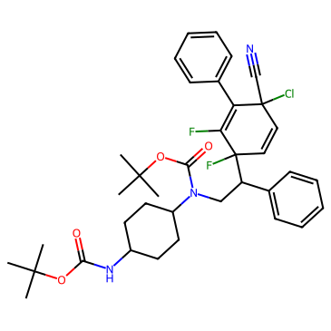 CC(C)(C)OC(=O)NC1CCC(N(CC(c2ccccc2)C2(F)C=CC(Cl)(C#N)C(c3ccccc3)=C2F)C(=O)OC(C)(C)C)CC1